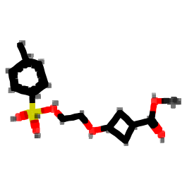 CCCCOC(=O)C1CC(OCCOS(=O)(=O)c2ccc(C)cc2)C1